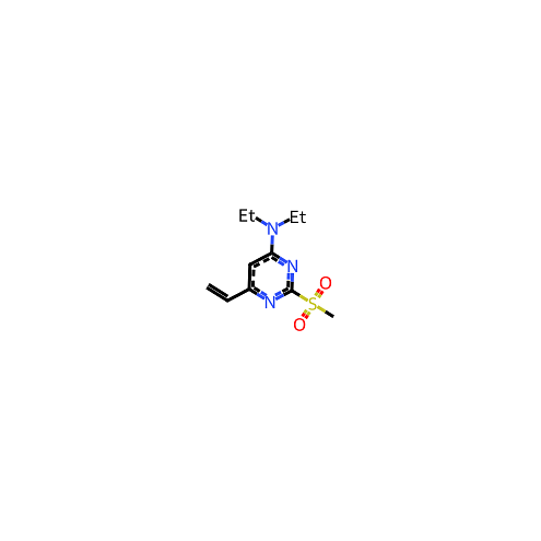 C=Cc1cc(N(CC)CC)nc(S(C)(=O)=O)n1